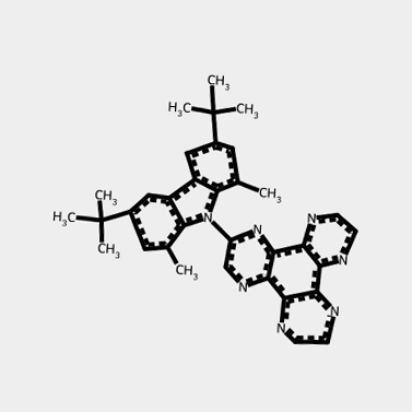 Cc1cc(C(C)(C)C)cc2c3cc(C(C)(C)C)cc(C)c3n(-c3cnc4c5nccnc5c5nccnc5c4n3)c12